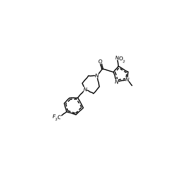 Cn1cc([N+](=O)[O-])c(C(=O)N2CCN(c3ccc(C(F)(F)F)cc3)CC2)n1